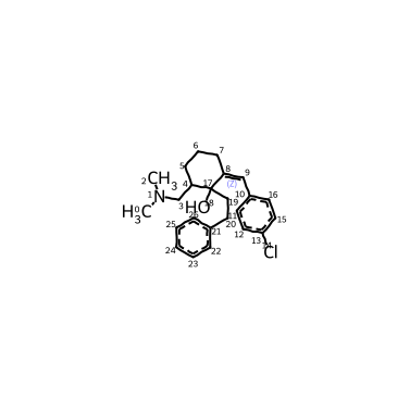 CN(C)CC1CCC/C(=C/c2ccc(Cl)cc2)C1(O)CCc1ccccc1